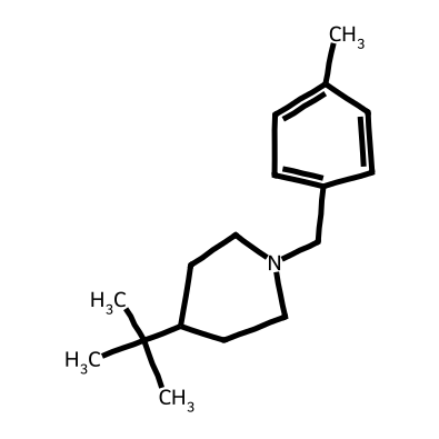 Cc1ccc(CN2CCC(C(C)(C)C)CC2)cc1